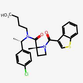 C[C@@H](c1ccc(Cl)cc1)N(CCCC(=O)O)C(=O)[C@@]1(C)CCN1C(=O)c1csc2ccccc12